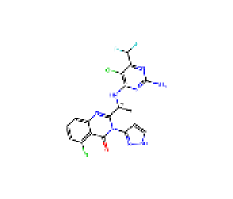 C[C@H](Nc1nc(N)nc(C(F)F)c1Cl)c1nc2cccc(Cl)c2c(=O)n1-c1cc[nH]n1